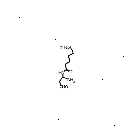 CCCCCCCCCCCC(=O)NC(N)CC=O